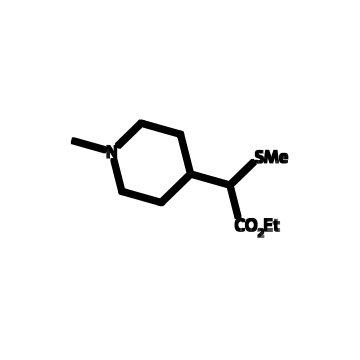 CCOC(=O)C(SC)C1CCN(C)CC1